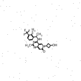 Cc1nc(N[C@H](C)c2cccc(C(F)(F)F)c2C)c2cn(C3CC(O)C3)c(=O)cc2n1